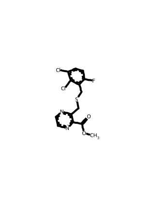 COC(=O)c1nccnc1CSCc1c(F)ccc(Cl)c1Cl